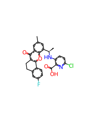 Cc1cc([C@@H](C)Nc2ccc(Cl)nc2C(=O)O)c2oc3c(c(=O)c2c1)CCc1cc(F)ccc1-3